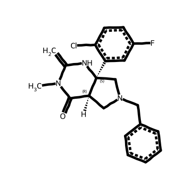 C=C1N[C@@]2(c3cc(F)ccc3Cl)CN(Cc3ccccc3)C[C@H]2C(=O)N1C